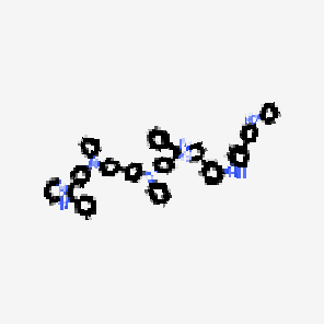 c1ccc(Nc2ccc(-c3ccc(Nc4cccc(-c5ccc6nc(-c7ccccc7)c(-c7ccc(N(c8ccccc8)c8ccc(-c9ccc(N(c%10ccccc%10)c%10ccc(-c%11c(-c%12ccccc%12)nc%12ccccn%11%12)cc%10)cc9)cc8)cc7)n6c5)c4)cc3)cc2)cc1